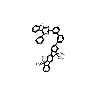 CC1(C)c2ccccc2-c2cc3c(cc21)-c1ccc(-c2cccc(-c4cccc(-c5nc(-c6ccccc6)c6c(n5)sc5ccccc56)c4)c2)cc1C3(C)C